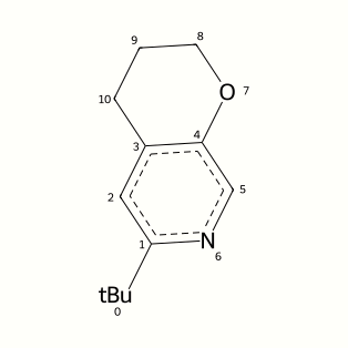 CC(C)(C)c1cc2c(cn1)OCCC2